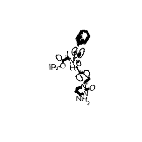 CC(C)OC(=O)[C@@H](C)NP(=O)(OC[C@H]1OC[C@@H](n2ccc(N)nc2=O)O1)Oc1ccccc1